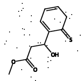 COC(=O)CC(O)C1=CC=CCC1=S